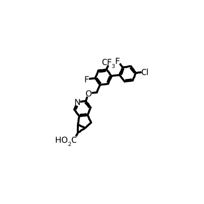 O=C(O)C1C2Cc3cc(OCc4cc(-c5ccc(Cl)cc5F)c(C(F)(F)F)cc4F)ncc3C21